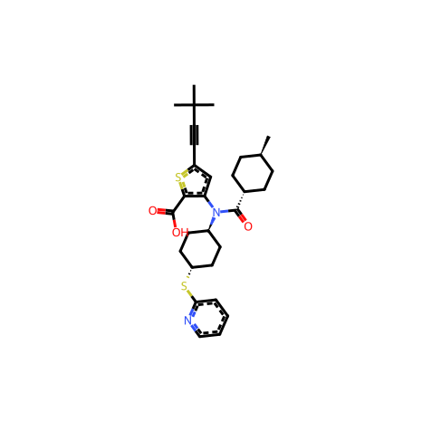 CC(C)(C)C#Cc1cc(N(C(=O)[C@H]2CC[C@H](C)CC2)[C@H]2CC[C@H](Sc3ccccn3)CC2)c(C(=O)O)s1